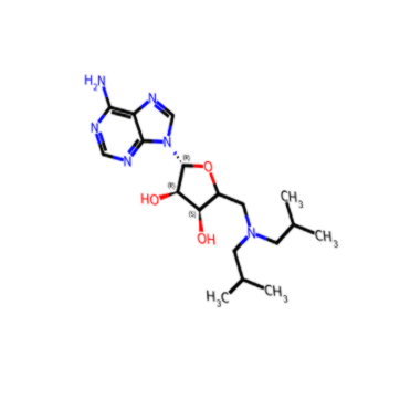 CC(C)CN(CC(C)C)CC1O[C@@H](n2cnc3c(N)ncnc32)[C@H](O)[C@@H]1O